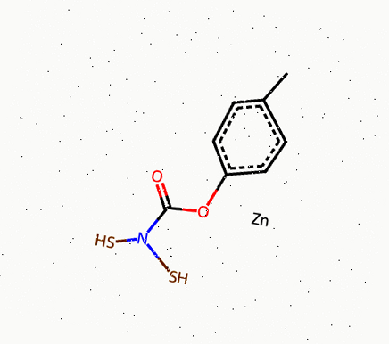 Cc1ccc(OC(=O)N(S)S)cc1.[Zn]